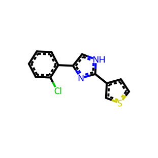 Clc1ccccc1-c1c[nH]c(-c2ccsc2)n1